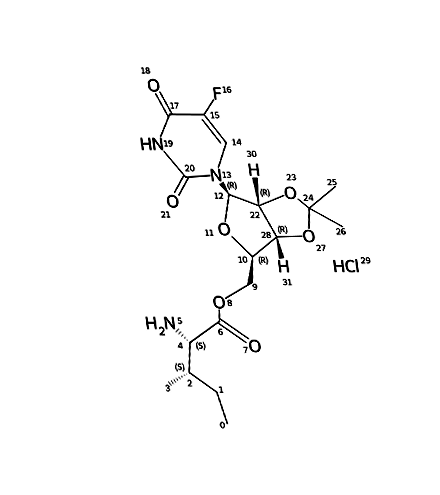 CC[C@H](C)[C@H](N)C(=O)OC[C@H]1O[C@@H](n2cc(F)c(=O)[nH]c2=O)[C@@H]2OC(C)(C)O[C@@H]21.Cl